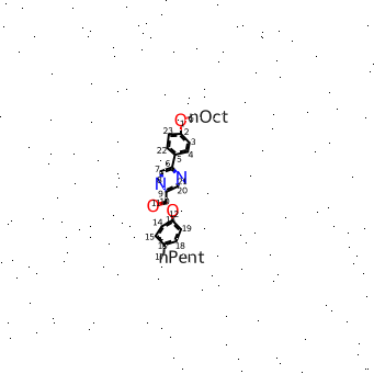 CCCCCCCCOc1ccc(-c2cnc(C(=O)Oc3ccc(CCCCC)cc3)cn2)cc1